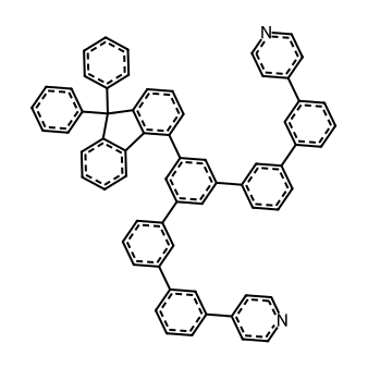 c1ccc(C2(c3ccccc3)c3ccccc3-c3c(-c4cc(-c5cccc(-c6cccc(-c7ccncc7)c6)c5)cc(-c5cccc(-c6cccc(-c7ccncc7)c6)c5)c4)cccc32)cc1